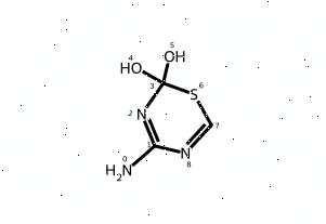 NC1=NC(O)(O)SC=N1